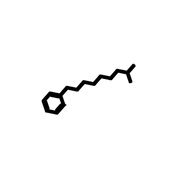 CC(C)CCCCCCCc1[c]cccc1